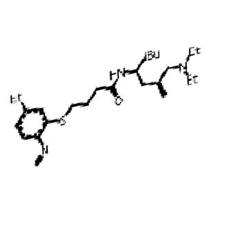 C=Nc1ccc(CC)cc1SCCCC(=O)NC(CC(=C)CN(CC)CC)C(C)CC